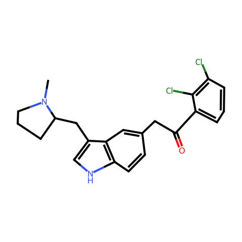 CN1CCCC1Cc1c[nH]c2ccc(CC(=O)c3cccc(Cl)c3Cl)cc12